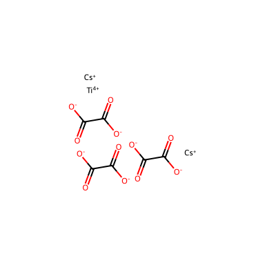 O=C([O-])C(=O)[O-].O=C([O-])C(=O)[O-].O=C([O-])C(=O)[O-].[Cs+].[Cs+].[Ti+4]